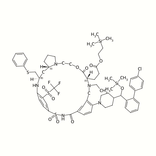 CCN1Cc2cc(ccc2N2CCC(C(O[Si](C)(C)C)c3ccccc3-c3ccc(Cl)cc3)CC2)C(=O)NS(=O)(=O)c2ccc(c(S(=O)(=O)C(F)(F)F)c2)N[C@@H](CSc2ccccc2)C[C@@H]2CCCN2CCOC(=O)[C@@H]1CCC(=O)OCC[Si](C)(C)C